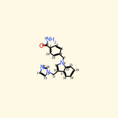 NC(=O)c1ccc(Cn2cc(Cn3ccnc3)c3ccccc32)cc1